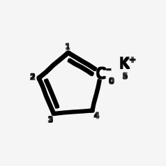 [C-]1=CC=CC1.[K+]